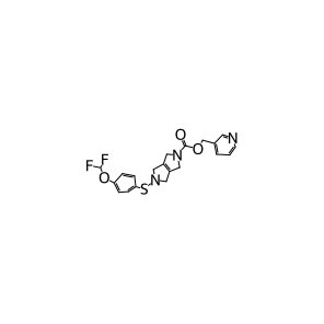 O=C(OCc1cccnc1)N1CC2=C(CN(Sc3ccc(OC(F)F)cc3)C2)C1